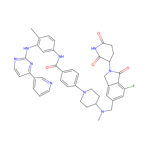 Cc1ccc(NC(=O)c2ccc(N3CCC(N(C)Cc4cc(F)c5c(c4)CN(C4CCC(=O)NC4=O)C5=O)CC3)cc2)cc1Nc1nccc(-c2cccnc2)n1